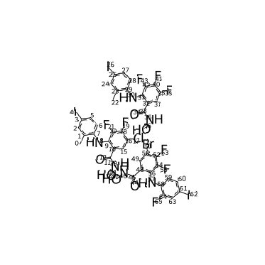 Cc1cc(I)ccc1Nc1c(C(=O)NO)cc(Cl)c(F)c1F.Cc1cc(I)ccc1Nc1c(C(=O)NO)cc(F)c(F)c1F.O=C(NO)c1cc(Br)c(F)c(F)c1Nc1ccc(I)cc1F